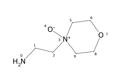 NCC[N+]1([O-])CCOCC1